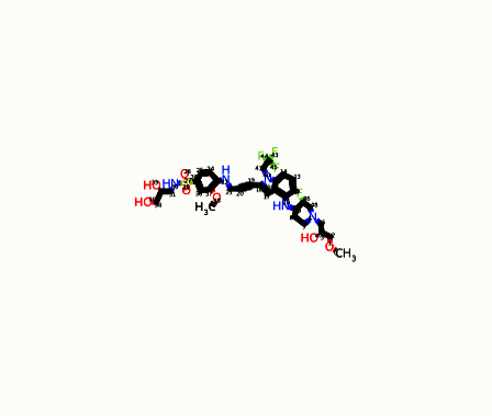 COC[C@H](O)CN1CCC(Nc2cccc3c2cc(C#CCNc2ccc(S(=O)(=O)NC[C@@H](O)CO)cc2OC)n3CC(F)(F)F)C(F)C1